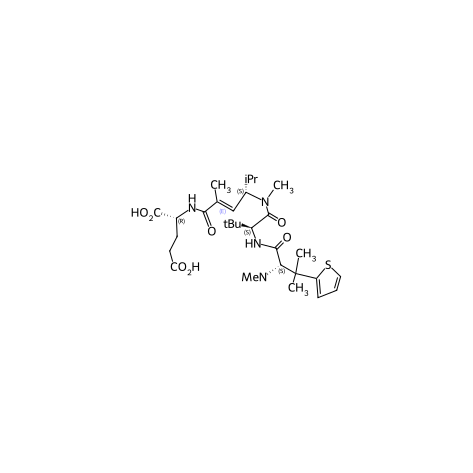 CN[C@H](C(=O)N[C@H](C(=O)N(C)[C@H](/C=C(\C)C(=O)N[C@H](CCC(=O)O)C(=O)O)C(C)C)C(C)(C)C)C(C)(C)c1cccs1